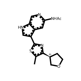 CC(=O)Nc1cc2c(-c3nc([C@H]4CCOC4)c(C)s3)c[nH]c2cn1